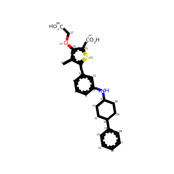 Cc1c(-c2cccc(NC3CCC(c4ccccc4)CC3)c2)sc(C(=O)O)c1OCC(=O)O